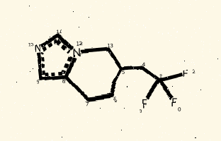 FC(F)(F)CC1CCc2cncn2C1